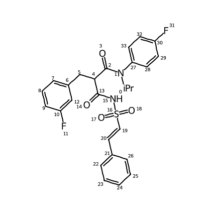 CC(C)N(C(=O)C(Cc1cccc(F)c1)C(=O)NS(=O)(=O)/C=C/c1ccccc1)c1ccc(F)cc1